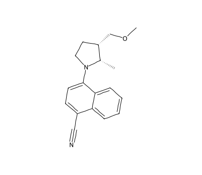 COC[C@H]1CCN(c2ccc(C#N)c3ccccc23)[C@H]1C